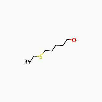 CC(C)CSCCCCC[O]